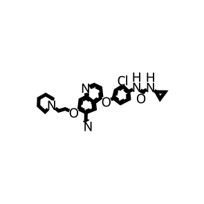 N#Cc1cc2c(Oc3ccc(NC(=O)NC4CC4)c(Cl)c3)ccnc2cc1OCCN1CCCCC1